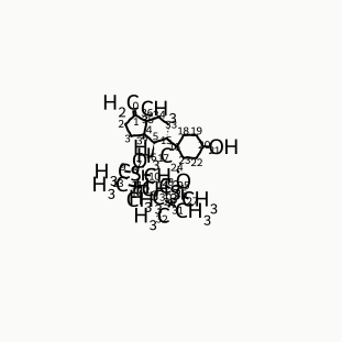 C=C1CC[C@H]2[C@H](CO[Si](C)(C)C(C)(C)C)[C@@H]([C@@]3(C)CCC(O)C[C@@H]3CO[Si](C)(C)C(C)(C)C)CC[C@]12C